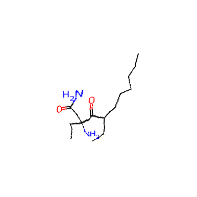 CCCCCCC(CC)C(=O)C(N)(CC)C(N)=O